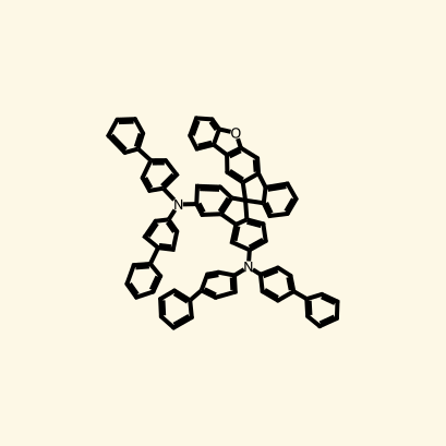 c1ccc(-c2ccc(N(c3ccc(-c4ccccc4)cc3)c3ccc4c(c3)-c3cc(N(c5ccc(-c6ccccc6)cc5)c5ccc(-c6ccccc6)cc5)ccc3C43c4ccccc4-c4cc5oc6ccccc6c5cc43)cc2)cc1